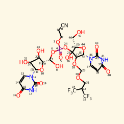 N#CCCOP(=O)(OC(O)[C@@H]1O[C@H](n2ccc(=O)[nH]c2=O)C(O)C1O)OC1(O)C(OCOCC(C(F)(F)F)C(F)(F)F)[C@@H](n2ccc(=O)[nH]c2=O)O[C@H]1CO